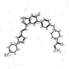 C=CC(=O)N1CCN(Cc2ccc(-c3cc4c(/C=C/c5cnn(C6CCN(CC)CC6)c5)n[nH]c4cc3F)cc2)CC1